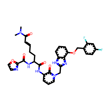 CN(C)C(=O)/C=C/CCC(NC(=O)c1ncco1)C(=O)Nc1cccn(Cc2nc3c(OCc4ccc(F)cc4F)cccc3[nH]2)c1=O